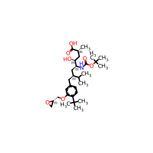 CC(C)[C@@H](Cc1ccc(C(C)(C)C)c(OC[C@@H]2CO2)c1)C[C@H](NC(=O)OC(C)(C)C)[C@@H](O)C[C@@H](C)C(=O)O